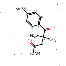 COC(=O)CC(C)(C)C(=O)c1ccc(SC)cc1